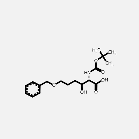 CC(C)(C)OC(=O)N[C@H](C(=O)O)C(O)CCCOCc1ccccc1